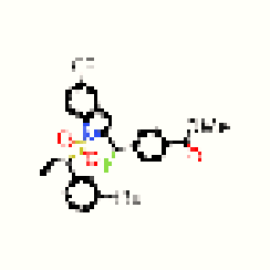 C=CC(c1cccc(C(C)(C)C)c1)S(=O)(=O)n1c(C(F)c2ccc(C(=O)OC)cc2)cc2cc(C(F)(F)F)ccc21